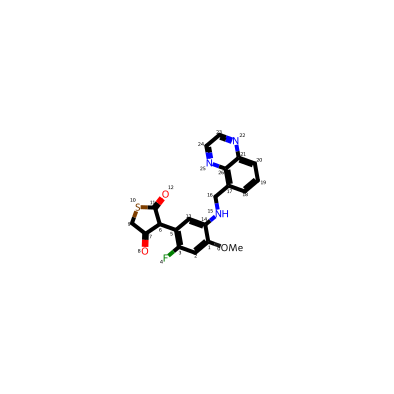 COc1cc(F)c(C2C(=O)CSC2=O)cc1NCc1cccc2nccnc12